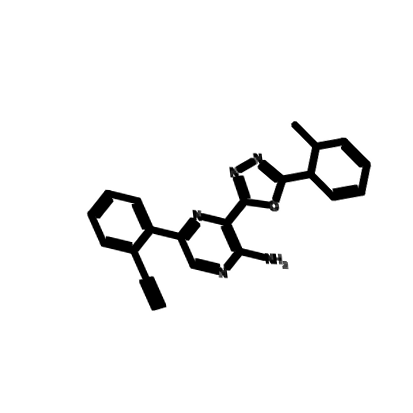 C#Cc1ccccc1-c1cnc(N)c(-c2nnc(C3C=CC=CC3C)o2)n1